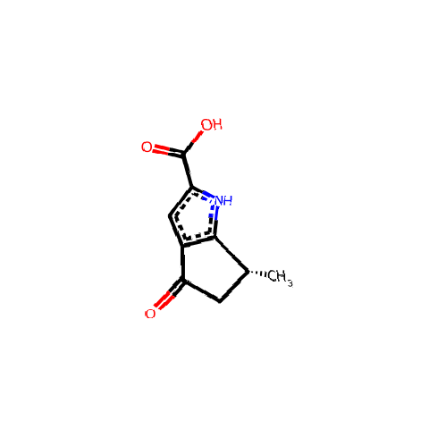 C[C@@H]1CC(=O)c2cc(C(=O)O)[nH]c21